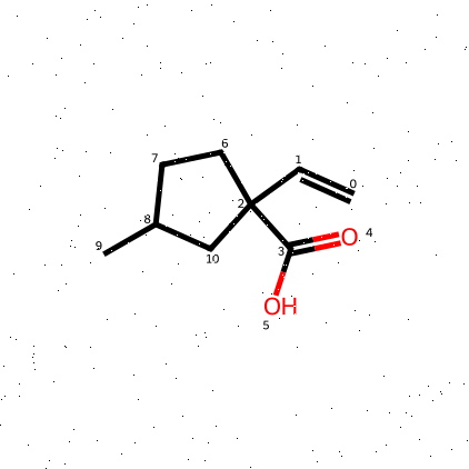 C=CC1(C(=O)O)CCC(C)C1